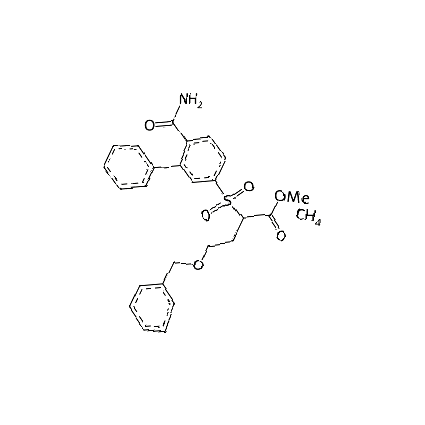 C.COC(=O)C(CCOCc1ccccc1)S(=O)(=O)c1ccc(C(N)=O)c(-c2ccccc2)c1